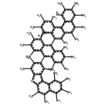 Bc1c(-c2c3c(B)c(B)c(B)c(B)c3c(-c3c(B)c4c(B)c(B)c5c(B)c(B)c(B)c(B)c5c4c4c(B)c(B)c(B)c(B)c34)c3c(B)c(B)c(B)c(B)c23)c(B)c2c(oc3c(B)c(B)c4c(B)c(B)c(B)c(B)c4c32)c1B